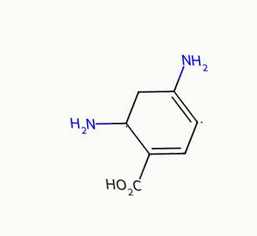 N[C]1CC(N)=[C]C=C1C(=O)O